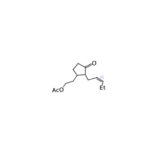 CC/C=C\CC1C(=O)CCC1CCOC(C)=O